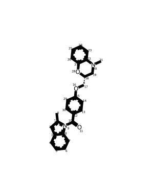 Cc1cc2[c]cccc2n1C(=O)c1ccc(OC[C@H]2CN(C)c3ccccc3O2)cc1